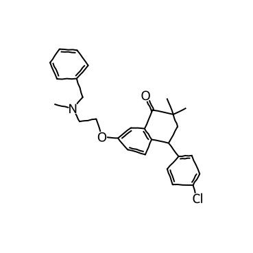 CN(CCOc1ccc2c(c1)C(=O)C(C)(C)CC2c1ccc(Cl)cc1)Cc1ccccc1